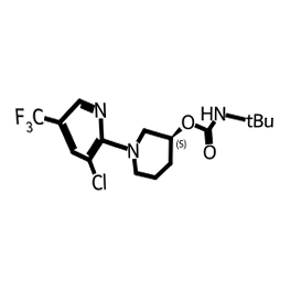 CC(C)(C)NC(=O)O[C@H]1CCCN(c2ncc(C(F)(F)F)cc2Cl)C1